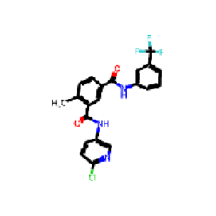 Cc1ccc(C(=O)Nc2cccc(C(F)(F)F)c2)cc1C(=O)Nc1ccc(Cl)nc1